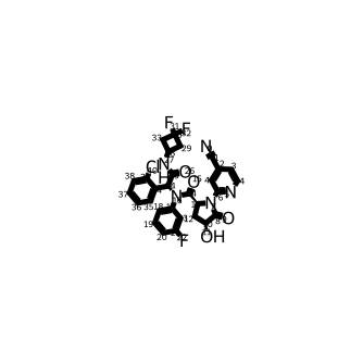 N#Cc1ccnc(N2C(=O)[C@@H](O)C[C@H]2C(=O)N(c2cccc(F)c2)[C@H](C(=O)NC2CC(F)(F)C2)c2ccccc2Cl)c1